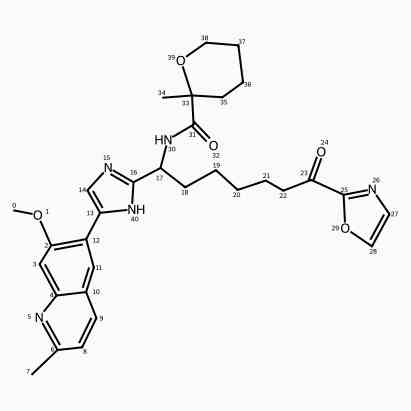 COc1cc2nc(C)ccc2cc1-c1cnc(C(CCCCCC(=O)c2ncco2)NC(=O)C2(C)CCCCO2)[nH]1